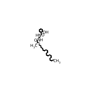 CC/C=C\C/C=C\C/C=C\C/C=C\C/C=C\CCCCS[C@H](CC)C(=O)NCCNC(=O)c1ccccc1O